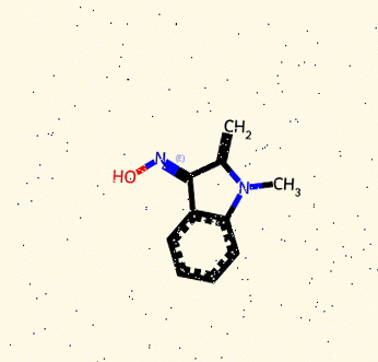 C=C1/C(=N/O)c2ccccc2N1C